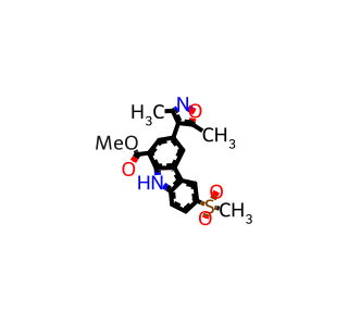 COC(=O)c1cc(-c2c(C)noc2C)cc2c1[nH]c1ccc(S(C)(=O)=O)cc12